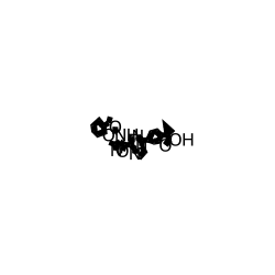 Cc1noc(-c2cnc(-c3ccc(C4(C(=O)O)CC4)cc3)n3ccnc23)c1NC(=O)OC(C)c1ccccc1